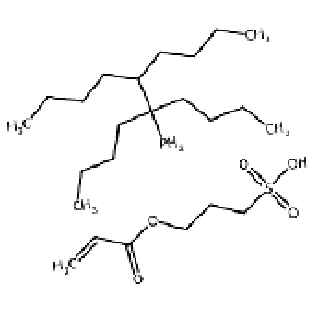 C=CC(=O)OCCCS(=O)(=O)O.CCCCC(CCCC)C(P)(CCCC)CCCC